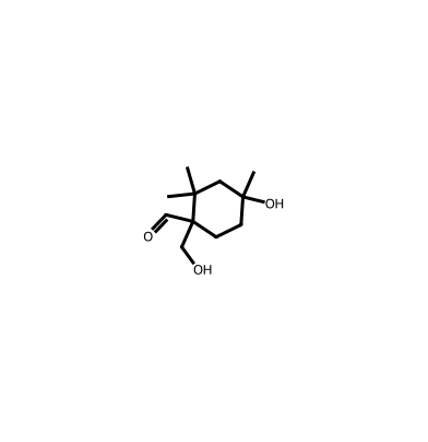 CC1(O)CCC(C=O)(CO)C(C)(C)C1